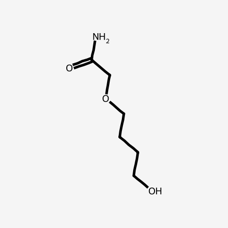 NC(=O)COCCCCO